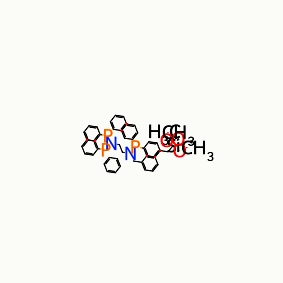 CO[Si](CCc1cccc(CN(CCN(P(c2ccccc2)c2ccccc2)P(c2ccccc2)c2ccccc2)P(c2ccccc2)c2ccccc2)c1)(OC)OC